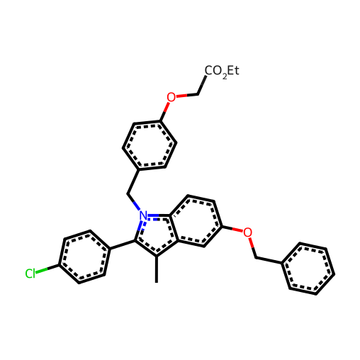 CCOC(=O)COc1ccc(Cn2c(-c3ccc(Cl)cc3)c(C)c3cc(OCc4ccccc4)ccc32)cc1